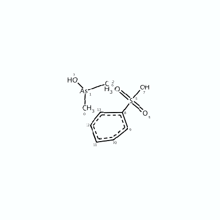 C[As](C)O.O=S(=O)(O)c1ccccc1